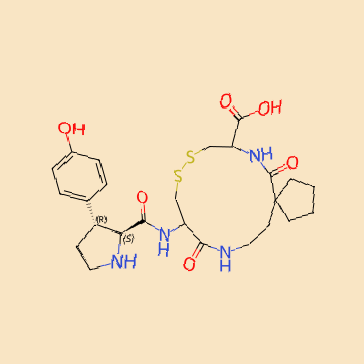 O=C(O)C1CSSCC(NC(=O)[C@H]2NCC[C@@H]2c2ccc(O)cc2)C(=O)NCCC2(CCCC2)C(=O)N1